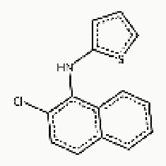 Clc1ccc2ccccc2c1Nc1cccs1